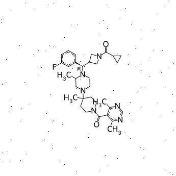 Cc1ncnc(C)c1C(=O)N1CCC(C)(N2CCN([C@@H](c3cccc(F)c3)C3CN(C(=O)C4CC4)C3)C(C)C2)CC1